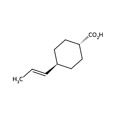 C/C=C/[C@H]1CC[C@H](C(=O)O)CC1